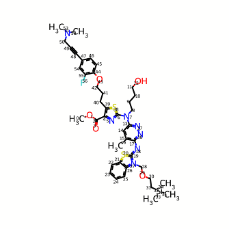 COC(=O)c1nc(N(CCCCO)c2cc(C)c(/N=c3\sc4ccccc4n3COCC[Si](C)(C)C)nn2)sc1CCCOc1ccc(C#CCN(C)C)cc1F